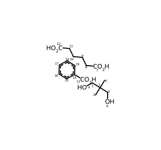 CC(C)(CO)CO.O=C(O)CCCCC(=O)O.O=C(O)c1ccccc1